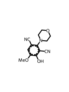 COc1cc(C#N)c(N2CCOCC2)c(C#N)c1O